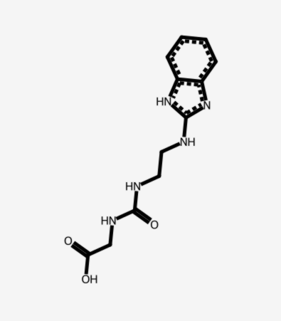 O=C(O)CNC(=O)NCCNc1nc2ccccc2[nH]1